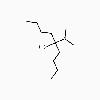 CCCCC([SiH3])(CCCC)N(C)C